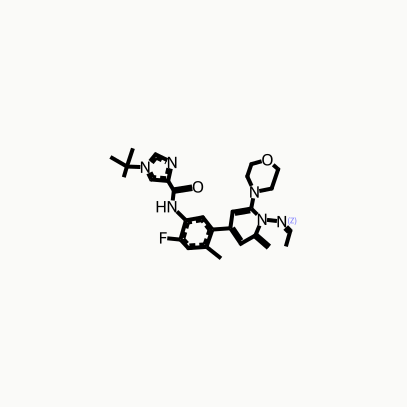 C=C1C=C(c2cc(NC(=O)c3cn(C(C)(C)C)cn3)c(F)cc2C)C=C(N2CCOCC2)N1/N=C\C